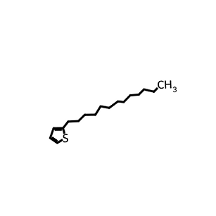 CCCCCCCCCCCCCc1cccs1